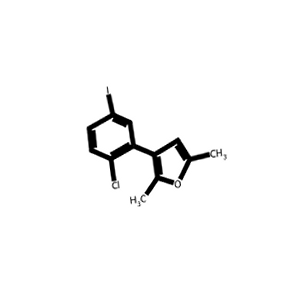 Cc1[c]c(-c2cc(I)ccc2Cl)c(C)o1